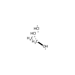 C.CO.Cl.Cl